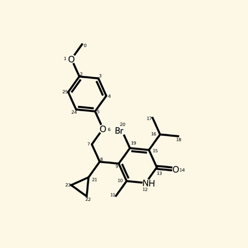 COc1ccc(OCC(c2c(C)[nH]c(=O)c(C(C)C)c2Br)C2CC2)cc1